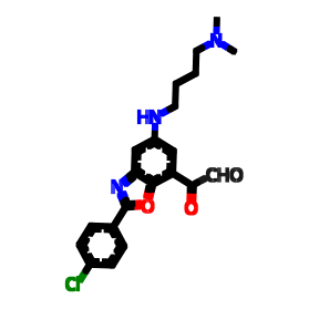 CN(C)CCCCNc1cc(C(=O)C=O)c2oc(-c3ccc(Cl)cc3)nc2c1